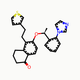 C[C@H](Oc1ccc2c(c1CCc1ccsc1)CCCC2=O)c1ccccc1-n1ccnc1